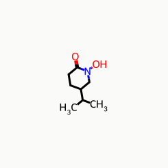 CC(C)C1CCC(=O)N(O)C1